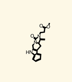 C=C1C2Cc3c([nH]c4ccccc34)CN2C(=O)N1CCC(=O)OC